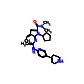 C=C(/N=C1\C(=C/C)C=C(C(=O)N(C)C)N1C1CCCC1)Nc1ccc(C2=CCNCC2)cn1